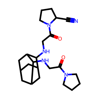 N#CC1CCCN1C(=O)CNC1C2CC3CC(C2)C(NCC(=O)N2CCCC2)C1C3